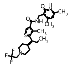 CCC(=C1CCN(CC(F)(F)F)CC1)c1scc(C(=O)NCc2c(C)cc(C)[nH]c2=O)c1C